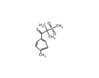 Cc1ccc(C(=S)C(C)(C)S(C)(=O)=O)cc1